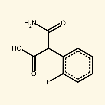 NC(=O)C(C(=O)O)c1ccccc1F